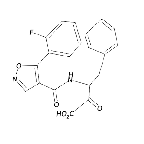 O=C(O)C(=O)C(Cc1ccccc1)NC(=O)c1cnoc1-c1ccccc1F